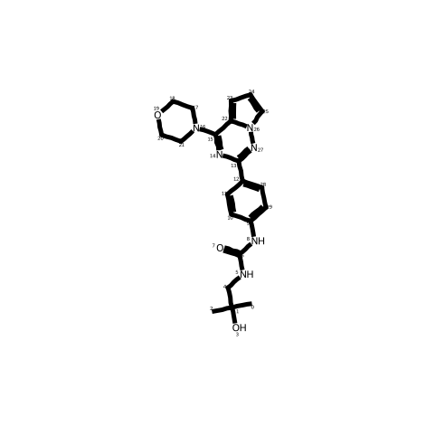 CC(C)(O)CNC(=O)Nc1ccc(-c2nc(N3CCOCC3)c3cccn3n2)cc1